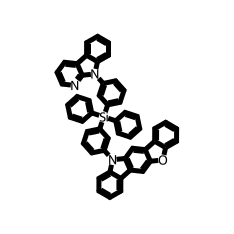 c1ccc([Si](c2ccccc2)(c2cccc(-n3c4ccccc4c4cc5oc6ccccc6c5cc43)c2)c2cccc(-n3c4ccccc4c4cccnc43)c2)cc1